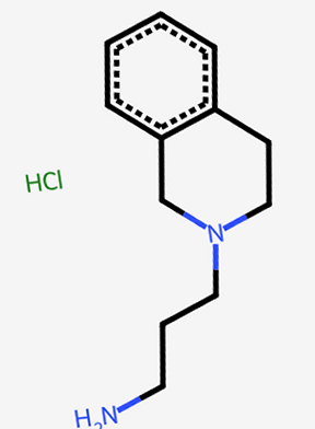 Cl.NCCCN1CCc2ccccc2C1